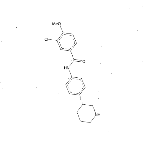 COc1ccc(C(=O)Nc2ccc([C@H]3CCCNC3)cc2)cc1Cl